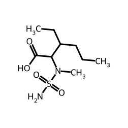 CCCC(CC)C(C(=O)O)N(C)S(N)(=O)=O